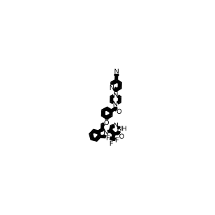 N#Cc1ccc(N2CCN(C(=O)c3cccc(OCC4c5ccccc5CN4c4cn[nH]c(=O)c4C(F)(F)F)c3)CC2)nc1